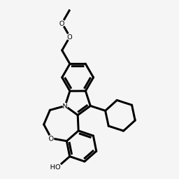 COOCc1ccc2c(C3CCCCC3)c3n(c2c1)CCOc1c(O)cccc1-3